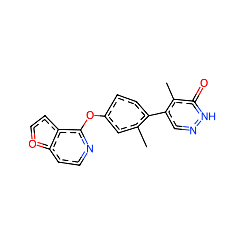 Cc1cc(Oc2nccc3occc23)ccc1-c1cn[nH]c(=O)c1C